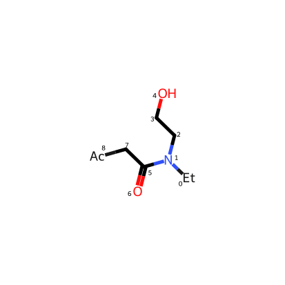 CCN(CCO)C(=O)CC(C)=O